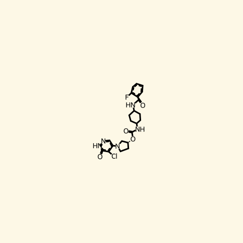 O=C(NC1CCC(NC(=O)c2ccccc2F)CC1)O[C@@H]1CCN(c2cn[nH]c(=O)c2Cl)C1